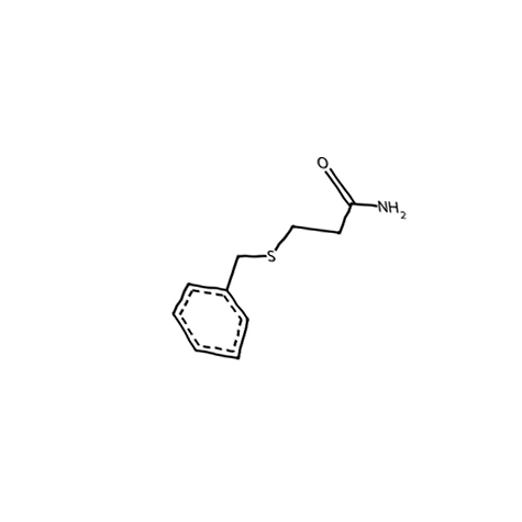 NC(=O)CCSCc1ccccc1